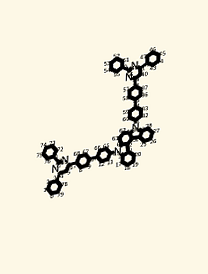 c1ccc(-c2cc(-c3ccc(-c4ccc(-n5c6ccccc6c6c7c8ccccc8n(-c8ccc(-c9ccc(-c%10cc(-c%11ccccc%11)nc(-c%11ccccc%11)n%10)cc9)cc8)c7ccc65)cc4)cc3)nc(-c3ccccc3)n2)cc1